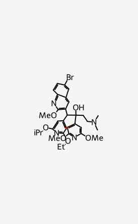 CCOc1cc(C(c2cc3cc(Br)ccc3nc2OC)C(O)(CCN(C)C)c2cc(OC)nc(OC)c2)cc(OC(C)C)n1